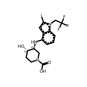 O=C(O)N1CC[C@H](O)[C@@H](Nc2cccc3c2cc(I)n3CC(F)(F)F)C1